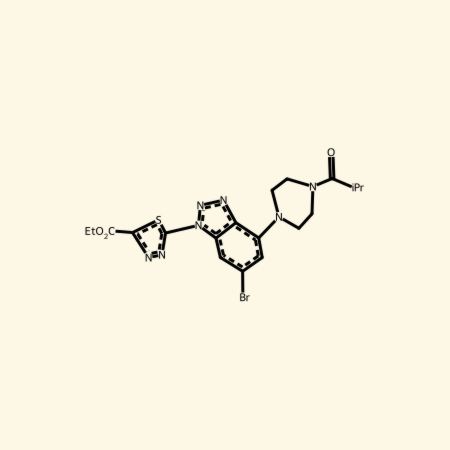 CCOC(=O)c1nnc(-n2nnc3c(N4CCN(C(=O)C(C)C)CC4)cc(Br)cc32)s1